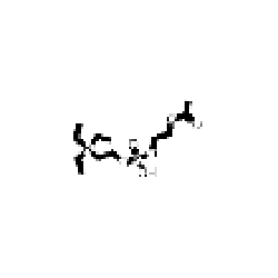 CC[N+](CC)(CC)CCOP(=O)(O)OCCOC(C)=O